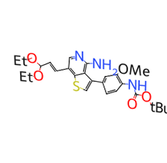 CCOC(/C=C/c1cnc(N)c2c(-c3ccc(NC(=O)OC(C)(C)C)c(OC)c3)csc12)OCC